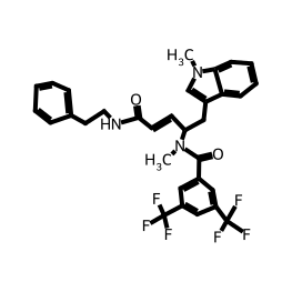 CN(C(=O)c1cc(C(F)(F)F)cc(C(F)(F)F)c1)C(C=CC(=O)NCCc1ccccc1)Cc1cn(C)c2ccccc12